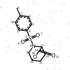 Cc1ccc(S(=O)(=O)N2CC3CCC2C(=O)O3)cc1